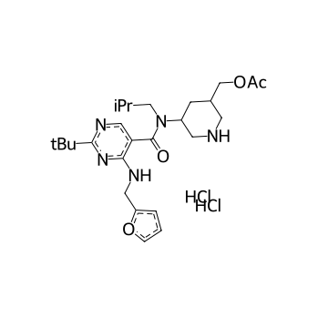 CC(=O)OCC1CNCC(N(CC(C)C)C(=O)c2cnc(C(C)(C)C)nc2NCc2ccco2)C1.Cl.Cl